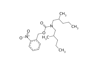 CCCC(C)CN(CC(C)CCC)C(=O)OCc1ccccc1[N+](=O)[O-]